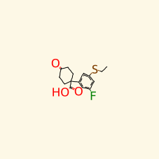 CCSc1cc(F)cc(C2(C(=O)O)CCC(=O)CC2)c1